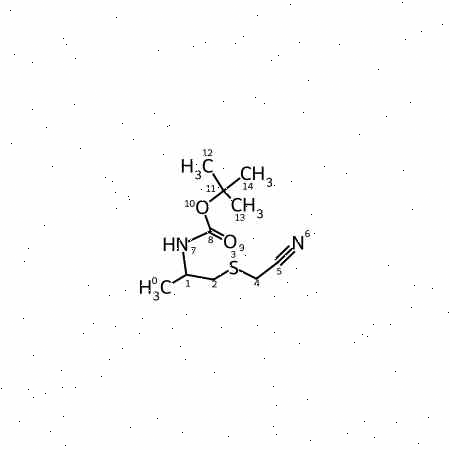 CC(CSCC#N)NC(=O)OC(C)(C)C